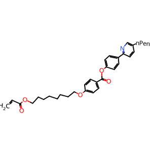 C=CC(=O)OCCCCCCCCOc1ccc(C(=O)Oc2ccc(-c3ccc(CCCCC)cn3)cc2)cc1